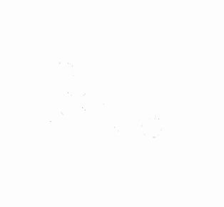 Cc1ccc(C(C)(C)N2CCC(CCc3ccc(F)s3)([C@H](NC(=O)Nc3ccccc3)C(F)(F)F)C2)cn1